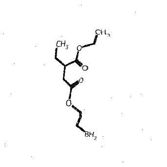 BCCOC(=O)CC(CC)C(=O)OCC